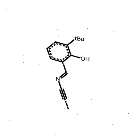 CC#CN=Cc1cccc(C(C)(C)C)c1O